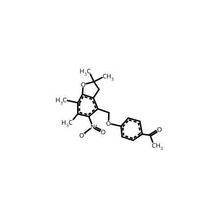 CC(=O)c1ccc(OCc2c3c(c(C)c(C)c2[N+](=O)[O-])OC(C)(C)C3)cc1